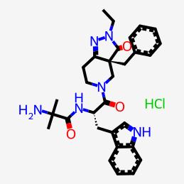 CCN1N=C2CCN(C(=O)[C@H](Cc3c[nH]c4ccccc34)NC(=O)C(C)(C)N)C[C@@]2(Cc2ccccc2)C1=O.Cl